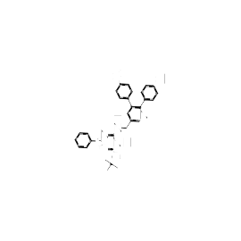 COc1ccc(-c2cc(CN/C(=N/Sc3ccccc3)NC(=O)OC(C)(C)C)cnc2-c2ccc(Cl)cc2)cc1